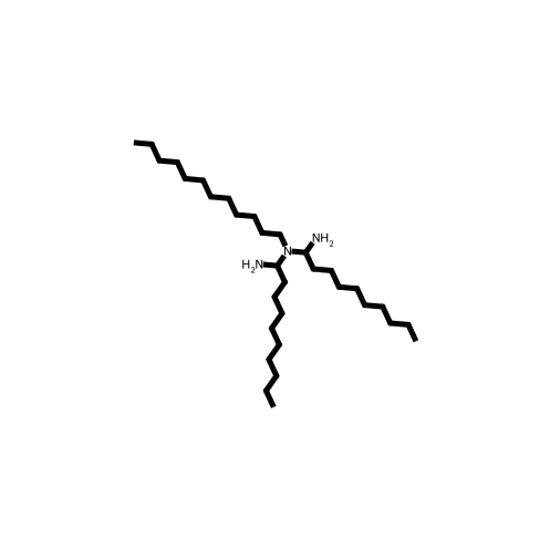 CCCCCCCCCCCCN(C(N)CCCCCCCCC)C(N)CCCCCCCCC